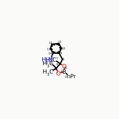 CCCB1OC(C)(C)C(C)(Cc2ccccc2N)O1